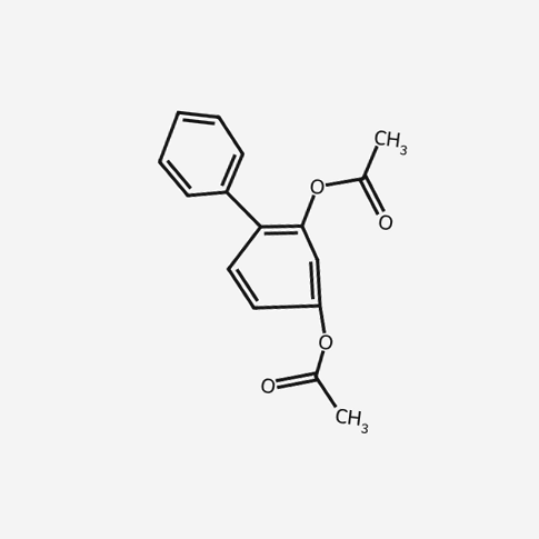 CC(=O)Oc1ccc(-c2ccccc2)c(OC(C)=O)c1